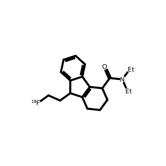 CCN(CC)C(=O)C1CCCC2=C1c1ccccc1C2CC[18F]